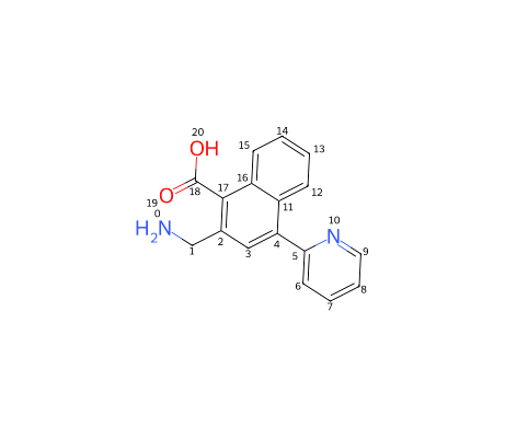 NCc1cc(-c2ccccn2)c2ccccc2c1C(=O)O